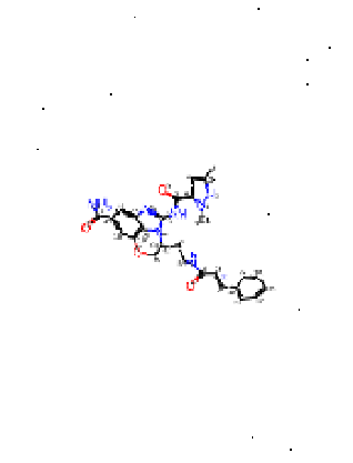 CCn1nc(C)cc1C(=O)Nc1nc2cc(C(N)=O)cc3c2n1[C@@H](CCNC(=O)/C=C/c1ccccc1)CO3